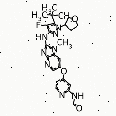 Cn1c(Nc2nn(C3CCOC3)c(C(C)(C)C)c2F)nc2ncc(Oc3ccnc(NC=O)c3)cc21